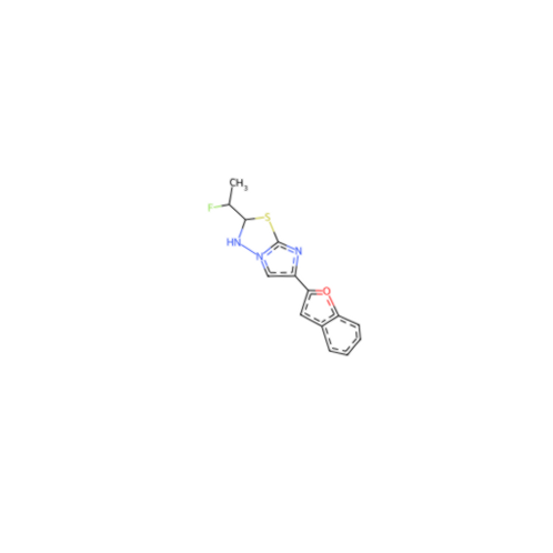 CC(F)C1Nn2cc(-c3cc4ccccc4o3)nc2S1